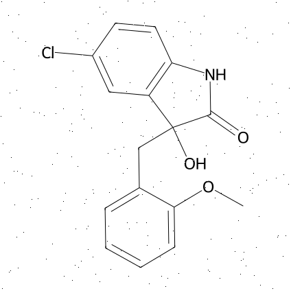 COc1ccccc1CC1(O)C(=O)Nc2ccc(Cl)cc21